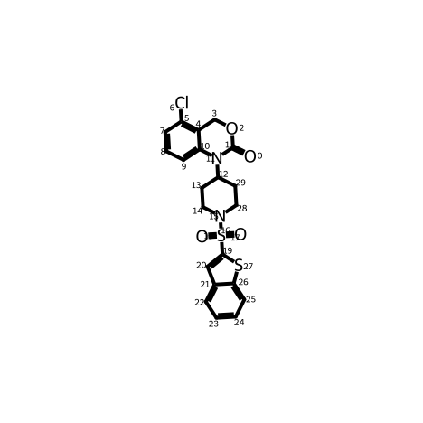 O=C1OCc2c(Cl)cccc2N1C1CCN(S(=O)(=O)c2cc3ccccc3s2)CC1